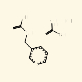 Cl.NC(O)=S.OC(=S)NCc1cccnc1.[KH]